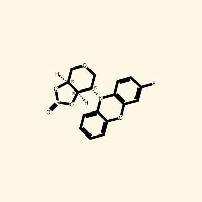 O=S1O[C@H]2[C@H](COC[C@@H]2N2c3ccccc3Oc3cc(F)ccc32)O1